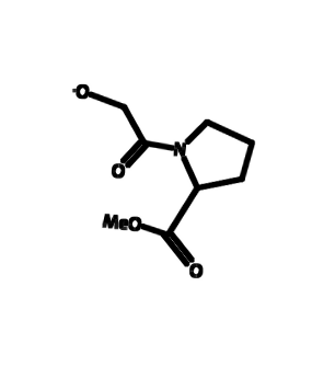 COC(=O)C1CCCN1C(=O)C[O]